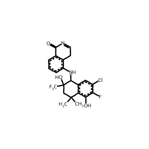 CC1(C)CC(O)(C(F)(F)F)C(Nc2cccc3c2CC=NC3=O)c2cc(Cl)c(F)c(O)c21